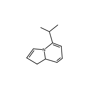 CC(C)C1=CC=CC2CC=CN12